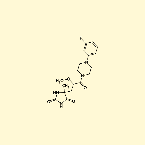 COC(CC1(C)NC(=O)NC1=O)C(=O)N1CCN(c2cccc(F)c2)CC1